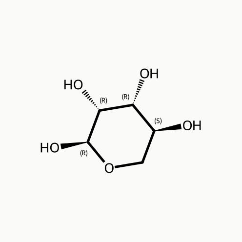 O[C@@H]1[C@H](O)[C@@H](O)CO[C@H]1O